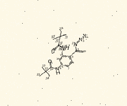 C=C(N=[N+]=[N-])c1ccc(NC(=O)C(C)(C)C)cc1NC(=O)C(C)(C)C